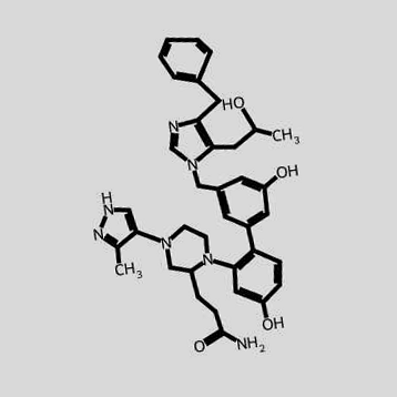 Cc1n[nH]cc1N1CCN(c2cc(O)ccc2-c2cc(O)cc(Cn3cnc(Cc4ccccc4)c3CC(C)O)c2)C(CCC(N)=O)C1